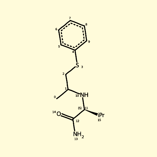 CC(CSc1ccccc1)N[C@H](C(N)=O)C(C)C